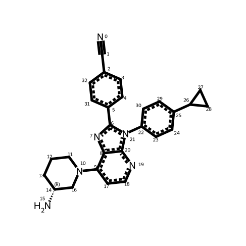 N#Cc1ccc(-c2nc3c(N4CCC[C@@H](N)C4)ccnc3n2-c2ccc(C3CC3)cc2)cc1